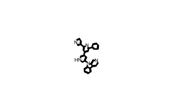 C1=C(c2cc(-c3ccccc3)nc(-c3cccnc3)c2)C=C(n2c3ccccc3c3ccncc32)CN1